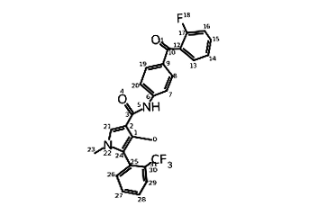 Cc1c(C(=O)Nc2ccc(C(=O)c3ccccc3F)cc2)cn(C)c1-c1ccccc1C(F)(F)F